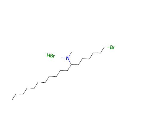 Br.CCCCCCCCCCCC(CCCCCCBr)N(C)C